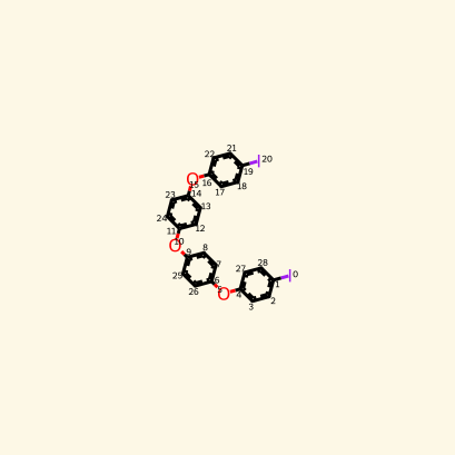 Ic1ccc(Oc2ccc(Oc3ccc(Oc4ccc(I)cc4)cc3)cc2)cc1